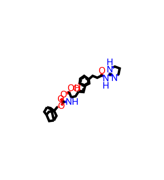 O=C(CCc1ccc2oc(CC(NC(=O)OCC34CC5CC(CC(C5)C3)C4)C(=O)O)cc2c1)NC1=NCCCN1